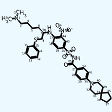 CN(C)CCCC[C@H](CSc1ccccc1)Nc1ccc(S(=O)(=O)NC(=O)c2ccc(N3CCC4(CCCC4)CC3)cc2)cc1[N+](=O)[O-]